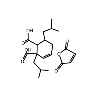 CC(C)CC1CC=CC(CC(C)C)(C(=O)O)C1C(=O)O.O=C1C=CC(=O)O1